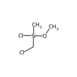 CO[Si](C)(Cl)CCl